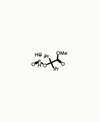 COC(=O)C(O[PH](=O)O)(C(C)C)C(C)C